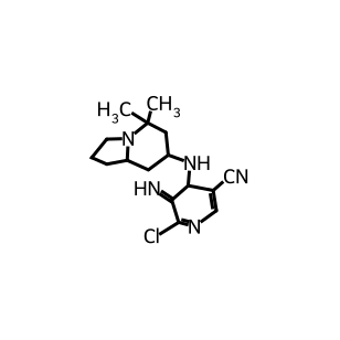 CC1(C)CC(NC2C(=N)C(Cl)=NC=C2C#N)CC2CCCN21